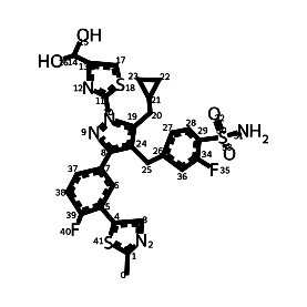 Cc1ncc(-c2cc(-c3nn(-c4nc(C(O)O)cs4)c(CC4CC4)c3Cc3ccc(S(N)(=O)=O)c(F)c3)ccc2F)s1